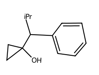 CC(C)C(c1ccccc1)C1(O)CC1